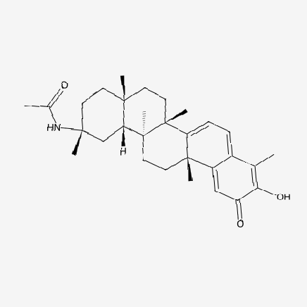 CC(=O)N[C@]1(C)CC[C@]2(C)CC[C@]3(C)C4=CC=C5C(=CC(=O)C(O)=C5C)[C@]4(C)CC[C@@]3(C)[C@@H]2C1